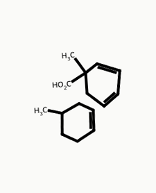 CC1(C(=O)O)C=CC=CC1.CC1CC=CCC1